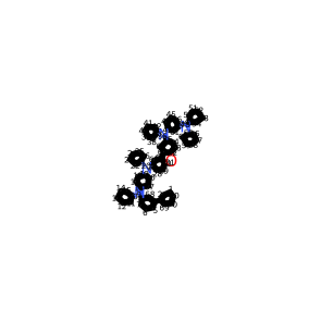 c1ccc(-c2cccc(N(c3ccccc3)c3ccc(N(c4ccccc4)c4ccc5oc6ccc(N(c7ccccc7)c7cccc(N(c8ccccc8)c8ccccc8)c7)cc6c5c4)cc3)c2)cc1